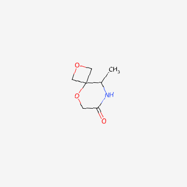 CC1NC(=O)COC12COC2